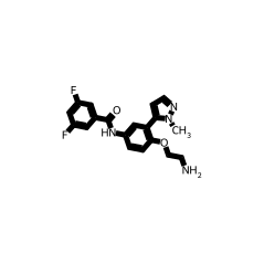 Cn1nccc1-c1cc(NC(=O)c2cc(F)cc(F)c2)ccc1OCCN